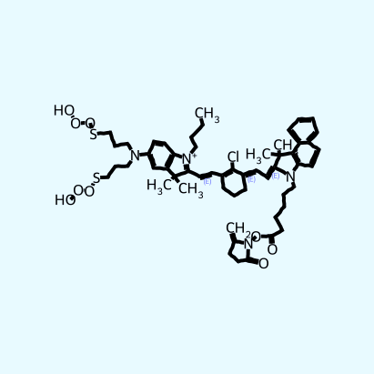 C=C1CCC(=O)N1OC(=O)CCCCCN1/C(=C/C=C2\CCCC(/C=C/C3=[N+](CCCC)c4ccc(N(CCCSOOO)CCCSOOO)cc4C3(C)C)=C2Cl)C(C)(C)c2c1ccc1ccccc21